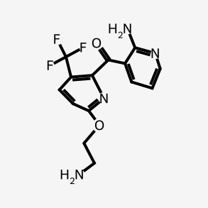 NCCOc1ccc(C(F)(F)F)c(C(=O)c2cccnc2N)n1